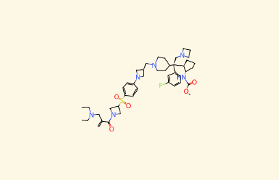 C=C(CN(CC)CC)C(=O)N1CC(S(=O)(=O)c2ccc(N3CC(CN4CCC([C@@](CN5CCC5)(c5cccc(F)c5)[C@H]5CCC[C@@H]5NC(=O)OC)CC4)C3)cc2)C1